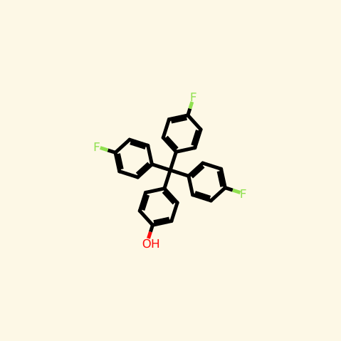 Oc1ccc(C(c2ccc(F)cc2)(c2ccc(F)cc2)c2ccc(F)cc2)cc1